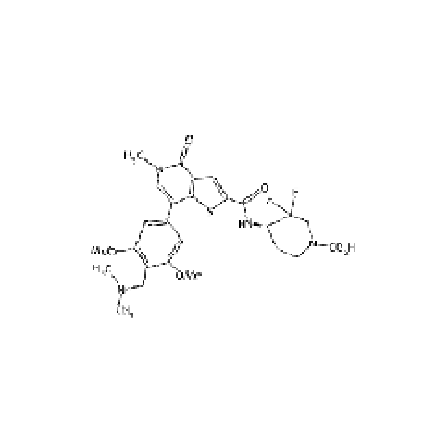 COc1cc(-c2cn(C)c(=O)c3cc(C(=O)N[C@@H]4CCN(C(=O)O)CC4(F)F)sc23)cc(OC)c1CN(C)C